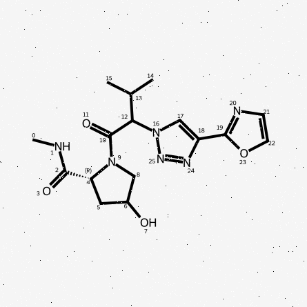 CNC(=O)[C@H]1CC(O)CN1C(=O)C(C(C)C)n1cc(-c2ncco2)nn1